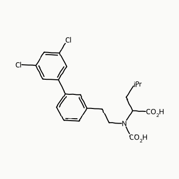 CC(C)CC(C(=O)O)N(CCc1cccc(-c2cc(Cl)cc(Cl)c2)c1)C(=O)O